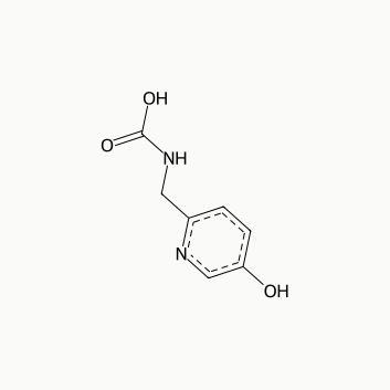 O=C(O)NCc1ccc(O)cn1